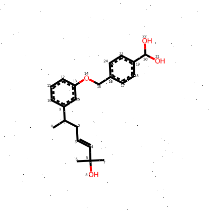 CC(CC=CC(C)(C)O)c1cccc(OCc2ccc(C(O)O)cc2)c1